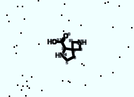 O=C(O)C1NCCC12CNC2